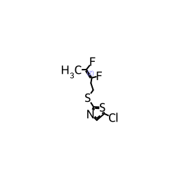 C/C(F)=C(/F)CCSc1ncc(Cl)s1